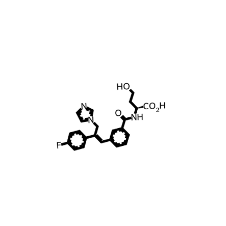 O=C(N[C@@H](CCO)C(=O)O)c1cccc(C=C(Cn2ccnc2)c2ccc(F)cc2)c1